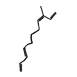 C=CC=CCCCC=C(C)C=C